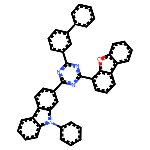 c1ccc(-c2cccc(-c3nc(-c4ccc5c6ccccc6n(-c6ccccc6)c5c4)nc(-c4cccc5c4oc4ccccc45)n3)c2)cc1